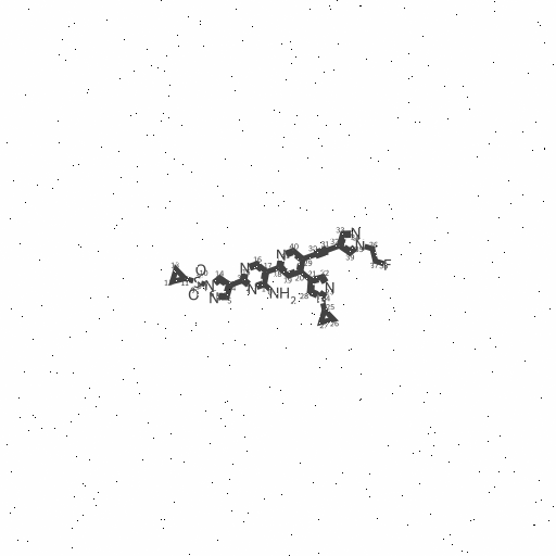 Nc1nc(-c2cnn(S(=O)(=O)C3CC3)c2)ncc1-c1cc(-c2cnn(C3CC3)c2)c(C#Cc2cnn(CCF)c2)cn1